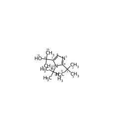 CC(C)(C)c1ncc(C(C)(C)O)n1C(C)(C)C